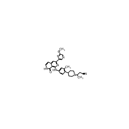 COc1cncc(-c2cc3cc[nH]c(=O)c3c(Nc3ccc(C4CCN(C(C)CC#N)CC4)c(C)c3)n2)n1